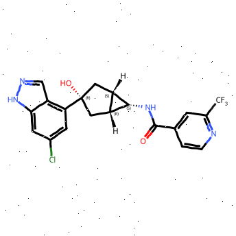 O=C(N[C@@H]1[C@@H]2C[C@@](O)(c3cc(Cl)cc4[nH]ncc34)C[C@@H]21)c1ccnc(C(F)(F)F)c1